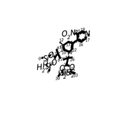 C[SiH2]OC(O[SiH2]C)C(C)(C)[C@@H]1[C@@H](C)CC(c2ccncc2[N+](=O)[O-])=C[C@@H]1C(C)(C)C(O[SiH2]C)O[SiH2]C